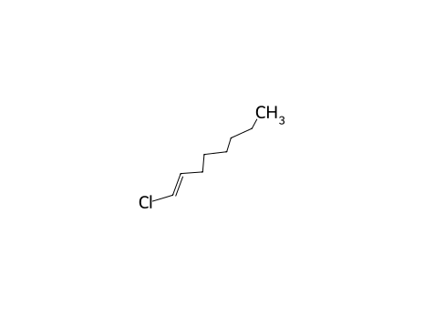 CCCCCCC=CCl